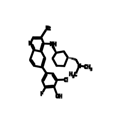 CCc1cnc2ccc(-c3cc(F)c(O)c(Cl)c3)cc2c1N[C@@H]1CCC[C@@H](CN(C)C)C1